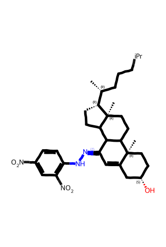 CC(C)CCC[C@@H](C)[C@H]1CCC2C3/C(=N/Nc4ccc([N+](=O)[O-])cc4[N+](=O)[O-])C=C4C[C@@H](O)CC[C@]4(C)C3CC[C@@]21C